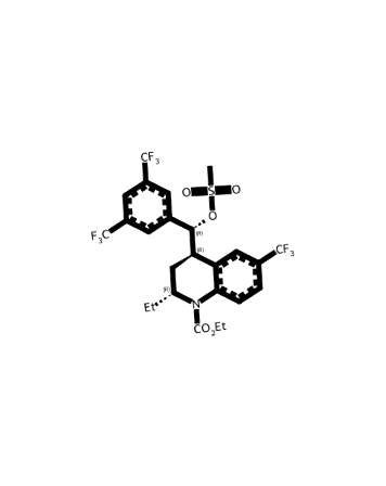 CCOC(=O)N1c2ccc(C(F)(F)F)cc2[C@H]([C@@H](OS(C)(=O)=O)c2cc(C(F)(F)F)cc(C(F)(F)F)c2)C[C@H]1CC